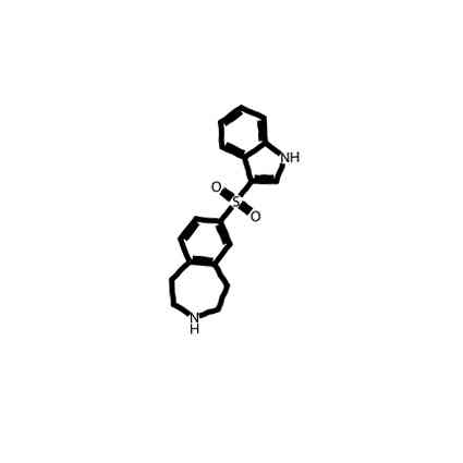 O=S(=O)(c1ccc2c(c1)CCNCC2)c1c[nH]c2ccccc12